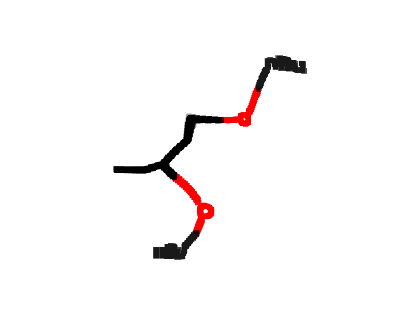 CCCCOCC(C)OCCCC